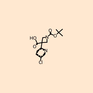 CC(C)(C)OC(=O)N1CC(C(=O)O)(c2ccc(Cl)cn2)C1